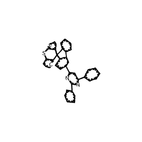 c1ccc(-c2cc(-c3ccc4c(c3)-c3ccccc3C43c4ccccc4Sc4ccccc43)nc(-c3ccccc3)n2)cc1